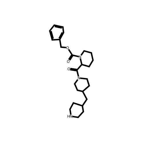 O=C(C1CCCCN1C(=O)OCc1ccccc1)N1CCC(CC2CCNCC2)CC1